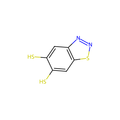 Sc1cc2nnsc2cc1S